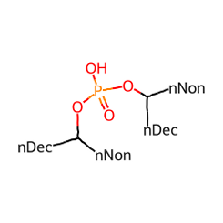 CCCCCCCCCCC(CCCCCCCCC)OP(=O)(O)OC(CCCCCCCCC)CCCCCCCCCC